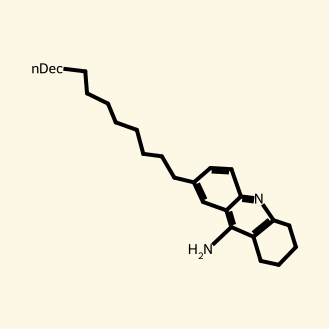 CCCCCCCCCCCCCCCCCCc1ccc2nc3c(c(N)c2c1)CCCC3